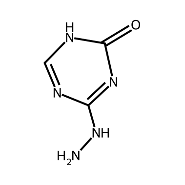 NNc1nc[nH]c(=O)n1